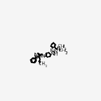 CCCc1c(CN[C@H]2CC[C@@H](Nc3nc(N(C)C)c4ccccc4n3)CC2)cnn1-c1ccccc1